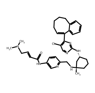 CN(C)C/C=C/C(=O)Nc1ccc(CN[C@@]2(C)CCC[C@@H](Nc3ncc(Cl)c(/C4=C/CCCCc5ccccc54)n3)C2)nc1